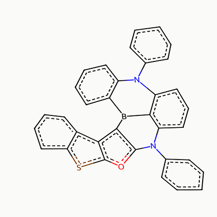 c1ccc(N2c3ccccc3B3c4c2cccc4N(c2ccccc2)c2oc4sc5ccccc5c4c23)cc1